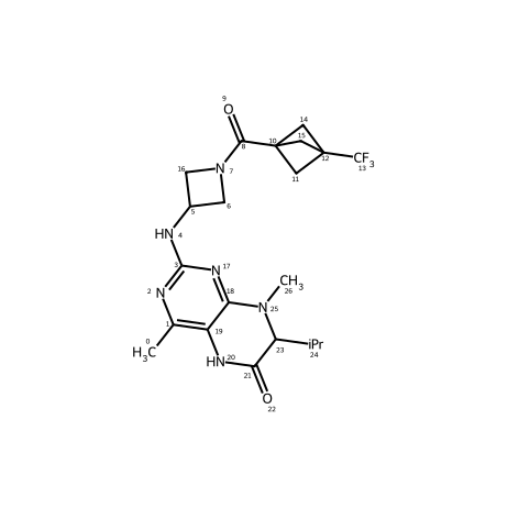 Cc1nc(NC2CN(C(=O)C34CC(C(F)(F)F)(C3)C4)C2)nc2c1NC(=O)C(C(C)C)N2C